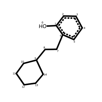 Oc1ccccc1CCC1CCCCC1